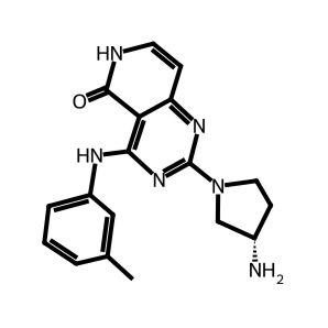 Cc1cccc(Nc2nc(N3CC[C@H](N)C3)nc3cc[nH]c(=O)c23)c1